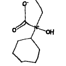 CC[N+](O)(C(=O)[O-])C1CCCCC1